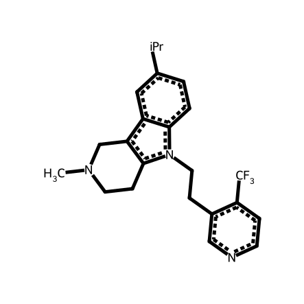 CC(C)c1ccc2c(c1)c1c(n2CCc2cnccc2C(F)(F)F)CCN(C)C1